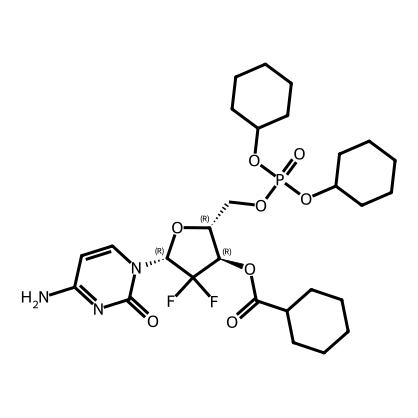 Nc1ccn([C@@H]2O[C@H](COP(=O)(OC3CCCCC3)OC3CCCCC3)[C@@H](OC(=O)C3CCCCC3)C2(F)F)c(=O)n1